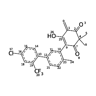 C=C1C(=O)C(C)(C)C(=O)C(c2cc(-c3ccc(Cl)cc3C(F)(F)F)ccc2C)=C1O